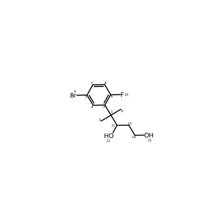 CC(C)(c1cc(Br)ccc1F)C(O)CCO